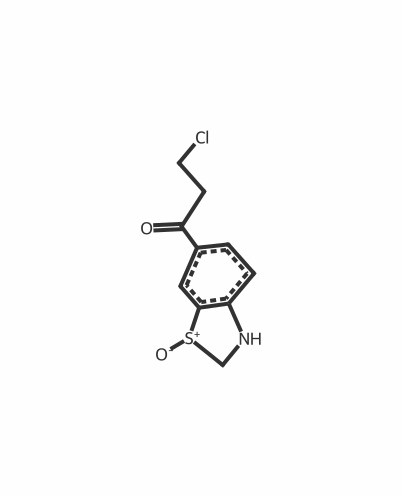 O=C(CCCl)c1ccc2c(c1)[S+]([O-])CN2